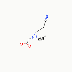 N#CCCNCC(=O)[O-].[Na+]